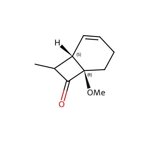 CO[C@]12CCC=C[C@H]1C(C)C2=O